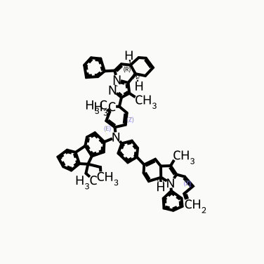 C=C/C=C\C1=C(C)C2C=C(c3ccc(N(C(/C=C\C(C)c4nn5c(c4C)[C@@H]4CC=CC[C@@H]4C=C5c4ccccc4)=C/CC)c4ccc5c(c4)C(CC)(CC)c4ccccc4-5)cc3)C=C[C@H]2N1c1ccccc1